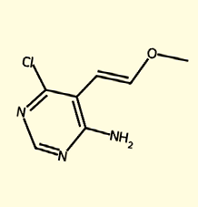 COC=Cc1c(N)ncnc1Cl